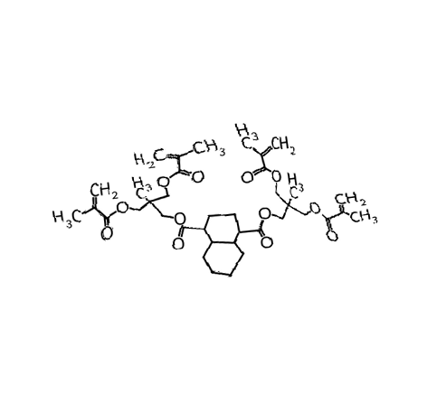 C=C(C)C(=O)OCC(C)(COC(=O)C(=C)C)COC(=O)C1CCC(C(=O)OCC(C)(COC(=O)C(=C)C)COC(=O)C(=C)C)C2CCCCC12